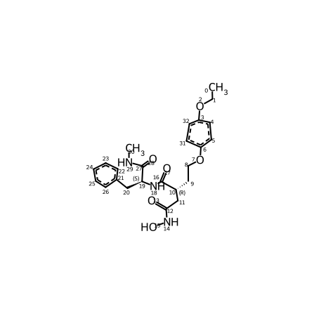 CCOc1ccc(OCC[C@H](CC(=O)NO)C(=O)N[C@@H](Cc2ccccc2)C(=O)NC)cc1